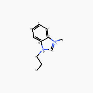 CCCn1c[n+](C)c2ccccc21